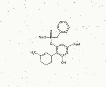 CCCCCc1cc(O)c(C2C=C(C)CCC2)c(OP(=O)(Cc2ccccc2)OC)c1